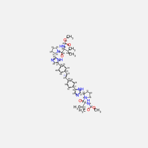 COC(=O)NC(C(=O)N1CCC[C@H]1c1ncc(-c2ccc(/C=C/c3ccc(-c4cnc([C@@H]5CCCN5C(=O)C(NC(=O)OC)C(C)C)[nH]4)cc3)cc2)[nH]1)C(C)C